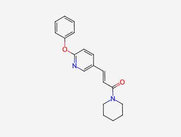 O=C(/C=C/c1ccc(Oc2ccccc2)nc1)N1CCCCC1